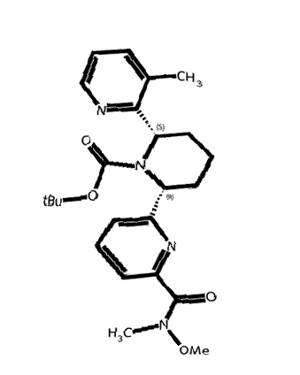 CON(C)C(=O)c1cccc([C@H]2CCC[C@@H](c3ncccc3C)N2C(=O)OC(C)(C)C)n1